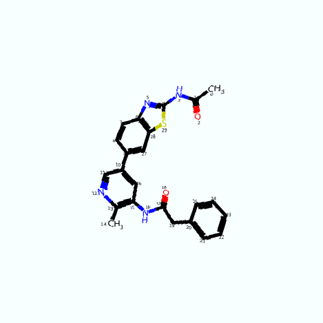 CC(=O)Nc1nc2ccc(-c3cnc(C)c(NC(=O)Cc4ccccc4)c3)cc2s1